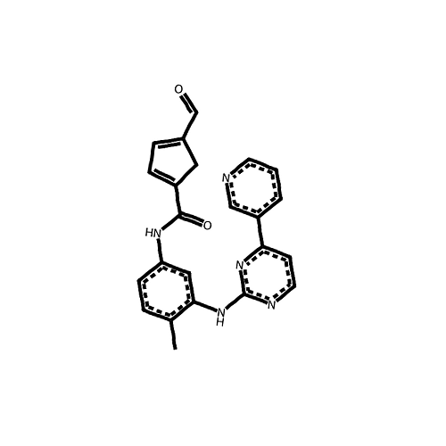 Cc1ccc(NC(=O)C2=CC=C(C=O)C2)cc1Nc1nccc(-c2cccnc2)n1